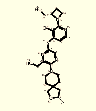 C[C@H]1CC2(CCN(c3ncc(Sc4ccnc(N5CC[C@H]5CO)c4Cl)nc3CO)CC2)CO1